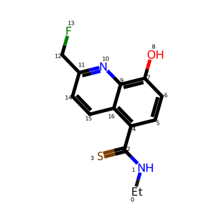 CCNC(=S)c1ccc(O)c2nc(CF)ccc12